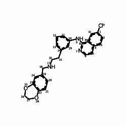 Clc1ccc2ccnc(Nc3cccc(CCNCc4ccc5c(c4)OCCO5)c3)c2c1